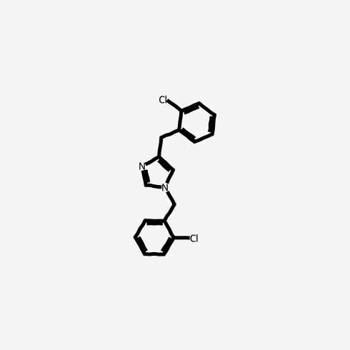 Clc1ccccc1Cc1cn(Cc2ccccc2Cl)cn1